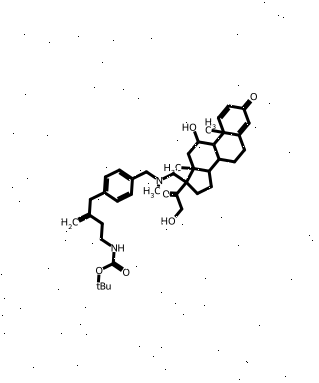 C=C(CCNC(=O)OC(C)(C)C)Cc1ccc(CN(C)CC2(C(=O)CO)CCC3C4CCC5=CC(=O)C=CC5(C)C4C(O)CC32C)cc1